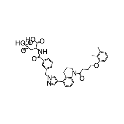 Cc1cccc(OCCCC(=O)N2CCCc3c(-c4cnn(Cc5cccc(C(=O)NC(CS(=O)(=O)O)C(=O)O)c5)c4)cccc32)c1C